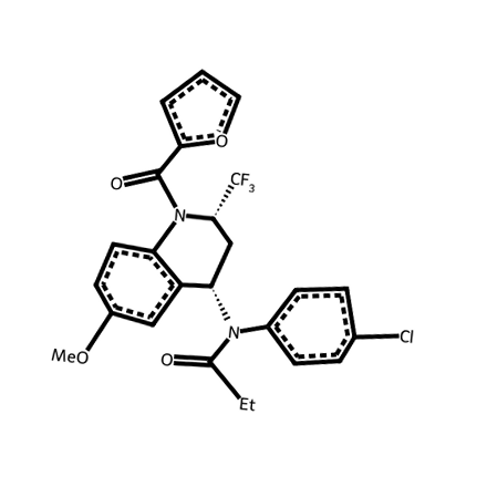 CCC(=O)N(c1ccc(Cl)cc1)[C@H]1C[C@@H](C(F)(F)F)N(C(=O)c2ccco2)c2ccc(OC)cc21